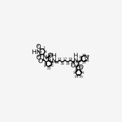 O=C1CCC(N2C(=O)c3cccc(NCCCCCCC(=O)NC(c4ccncc4)c4cc5ccccc5o4)c3C2=O)C(=O)N1